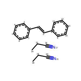 C(=Cc1ccccc1)c1ccccc1.CCC#N.CCC#N